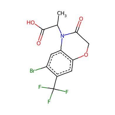 CC(C(=O)O)N1C(=O)COc2cc(C(F)(F)F)c(Br)cc21